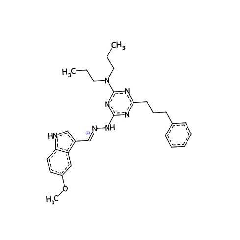 CCCN(CCC)c1nc(CCCc2ccccc2)nc(N/N=C/c2c[nH]c3ccc(OC)cc23)n1